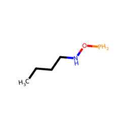 CCCCNOP